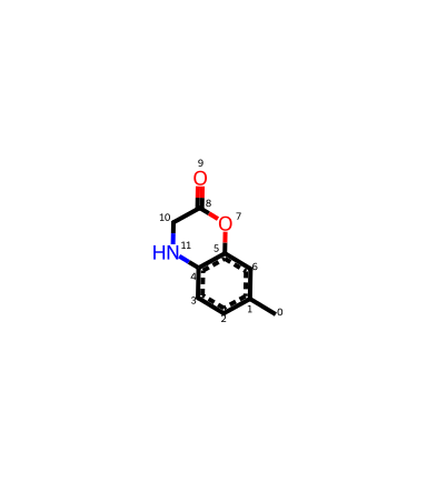 Cc1ccc2c(c1)OC(=O)CN2